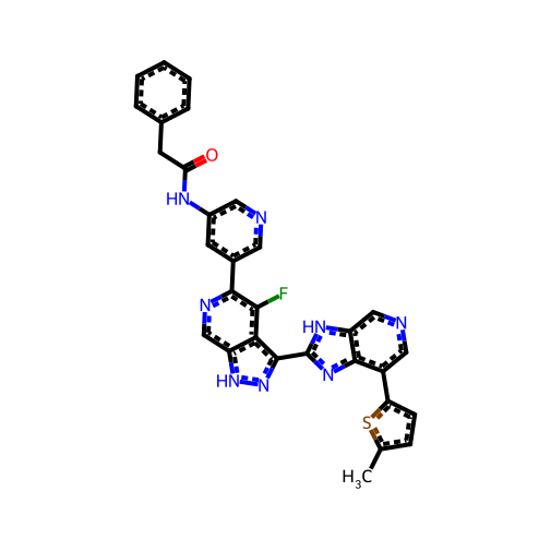 Cc1ccc(-c2cncc3[nH]c(-c4n[nH]c5cnc(-c6cncc(NC(=O)Cc7ccccc7)c6)c(F)c45)nc23)s1